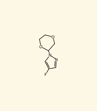 Fc1cnn(C2COCCO2)c1